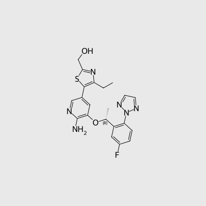 CCc1nc(CO)sc1-c1cnc(N)c(O[C@H](C)c2cc(F)ccc2-n2nccn2)c1